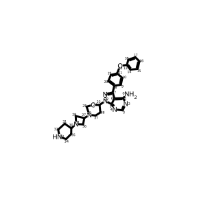 Nc1ncnc2c1c(-c1ccc(Oc3ccccc3)cc1)nn2C1CCN(C2CN(C3CCNCC3)C2)CC1